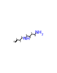 C=CCCNCCCCN